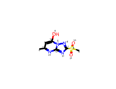 Cc1cc(O)n2nc(S(C)(=O)=O)nc2n1